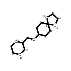 C1COC(COC2CCC3(CC2)OCCO3)CO1